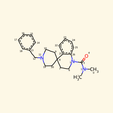 CN(C)C(=O)N1CCC2(CCN(Cc3ccccc3)CC2)c2ccccc21